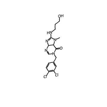 CN1C(NCCCO)=NC2N=CN(Cc3ccc(Cl)c(Cl)c3)C(=O)C21